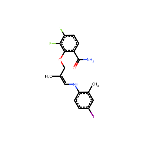 CC(=CNc1ccc(I)cc1C)COc1c(C(N)=O)ccc(F)c1F